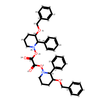 O=C(ON1CCCC(OCc2ccccc2)C1c1ccccc1)C(=O)ON1CCCC(OCc2ccccc2)C1c1ccccc1